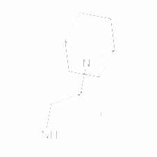 NCC(=O)N1C2CCC1CC2